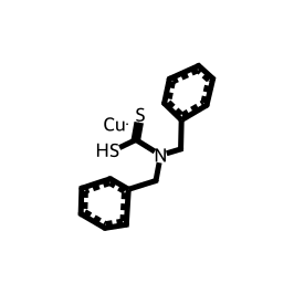 S=C(S)N(Cc1ccccc1)Cc1ccccc1.[Cu]